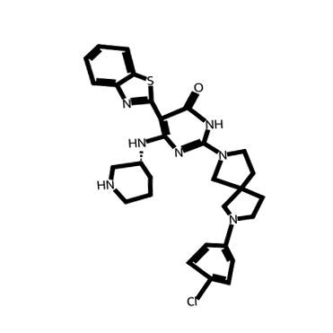 O=c1[nH]c(N2CCC3(CCN(c4ccc(Cl)cc4)C3)C2)nc(N[C@@H]2CCCNC2)c1-c1nc2ccccc2s1